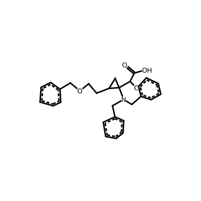 O=C(O)C(Cl)C1(N(Cc2ccccc2)Cc2ccccc2)CC1CCOCc1ccccc1